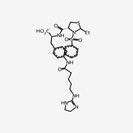 CCC1SC[C@@H](C(=O)N[C@@H](Cc2ccc(NC(=O)CCCCNC3=NCCN3)cc2)C(=O)O)N1S(=O)(=O)c1ccccc1